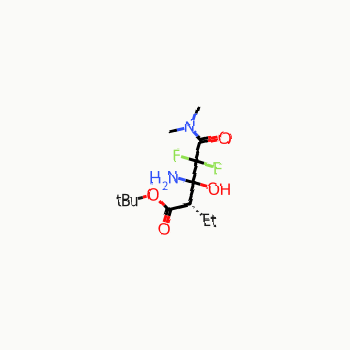 CC[C@H](C(=O)OC(C)(C)C)C(N)(O)C(F)(F)C(=O)N(C)C